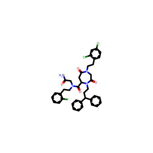 NC(=O)CN(CCc1ccccc1F)C(=O)C1CC(=O)N(CCc2ccc(Cl)cc2Cl)CC(=O)N1CCC(c1ccccc1)c1ccccc1